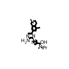 Cc1cc(-c2cnc(N)c(-n3cc(C(O)N(C)C(C)C)cn3)n2)cc2c1CCN(C)C2